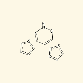 C1=CNOC=C1.c1ccsc1.c1ccsc1